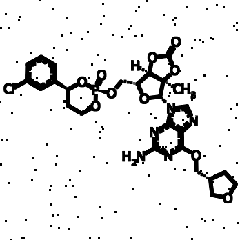 C[C@@]12OC(=O)O[C@@H]1[C@@H](CO[P@@]1(=O)OCC[C@@H](c3cccc(Cl)c3)O1)O[C@H]2n1cnc2c(OC[C@@H]3CCOC3)nc(N)nc21